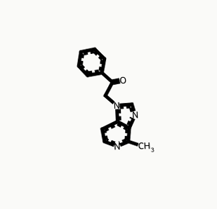 Cc1nccc2c1ncn2CC(=O)c1ccccc1